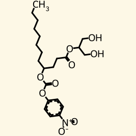 CCCCCCCCC(CCC(=O)OC(CO)CO)OC(=O)Oc1ccc([N+](=O)[O-])cc1